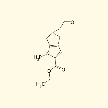 CCOC(=O)c1cc2c(n1P)CC1C(C=O)C21